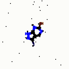 Sc1ncc2c(I)n[nH]c2n1